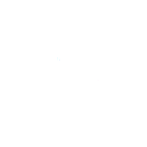 Cc1ccc2c(c1)c1ccccc1n2-c1cc2c3c(c1)Oc1ccccc1B3c1ccccc1O2